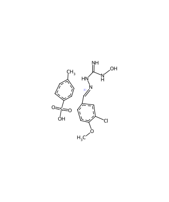 COc1ccc(/C=N/NC(=N)NO)cc1Cl.Cc1ccc(S(=O)(=O)O)cc1